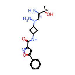 C[C@@H](O)/C(N)=C/N(N)C1CC(NC(=O)c2cc(-c3ccccc3)on2)C1